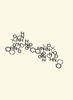 CN[C@@H](C)C(=O)N[C@H](C(=O)N1C[C@@H](NS(=O)(=O)c2ccc3cc(S(=O)(=O)N[C@H]4C[C@@H](C(=O)N[C@@H]5CCCc6ccccc65)N(C(=O)[C@@H](NC(=O)[C@H](C)NC)C(C)(C)C)C4)ccc3c2)C[C@H]1C(=O)N[C@@H]1CCCc2ccccc21)C(C)(C)C